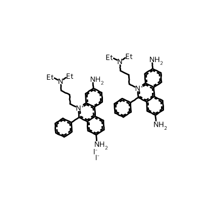 CCN(CC)CCC[n+]1c(-c2ccccc2)c2cc(N)ccc2c2ccc(N)cc21.CCN(CC)CCC[n+]1c(-c2ccccc2)c2cc(N)ccc2c2ccc(N)cc21.[I-].[I-]